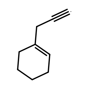 [C]#CCC1=CCCCC1